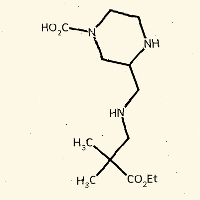 CCOC(=O)C(C)(C)CNCC1CN(C(=O)O)CCN1